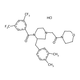 Cc1ccc(CC2CN(CC(=O)N3CCOCC3)CCN2C(=O)c2cc(C(F)(F)F)cc(C(F)(F)F)c2)cc1C.Cl